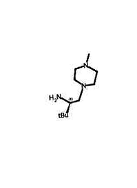 CN1CCN(C[C@H](N)C(C)(C)C)CC1